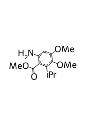 COC(=O)c1c(N)cc(OC)c(OC)c1C(C)C